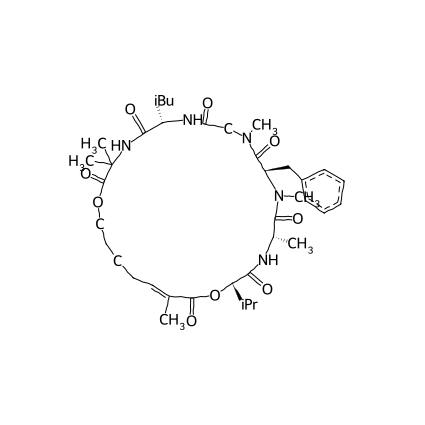 CCC(C)[C@@H]1NC(=O)CN(C)C(=O)[C@@H](Cc2ccccc2)N(C)C(=O)[C@H](C)NC(=O)[C@@H](C(C)C)OC(=O)/C(C)=C/CCCCOC(=O)C(C)(C)NC1=O